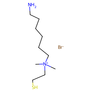 C[N+](C)(CCS)CCCCCCN.[Br-]